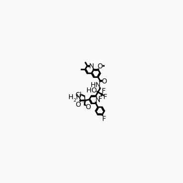 COc1cc(C(=O)NCC(O)(c2cc3c(c(-c4ccc(F)cc4)n2)OC[C@]3(CCl)C(N)=O)C(F)(F)F)cc2cc(C)c(C)nc12